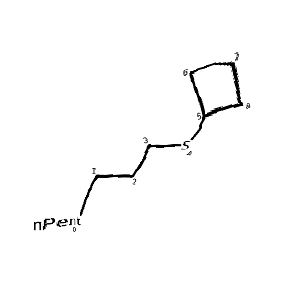 CCCCCCCCSC1CCC1